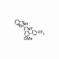 COc1cc(-c2ccc(C(F)(F)F)cc2F)c2ncc(C(=O)N[C@@H](C)c3ccccn3)cc2c1